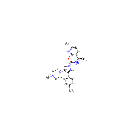 CC(=O)N1CCN([C@@H]2CN(C(=O)NC(C)c3ccc(C(F)(F)F)nc3)N=C2c2ccc(C)cc2)CC1